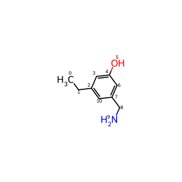 CCc1cc(O)cc(CN)c1